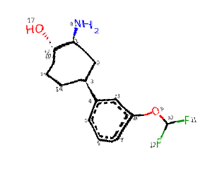 N[C@H]1C[C@@H](c2cccc(OC(F)F)c2)CC[C@@H]1O